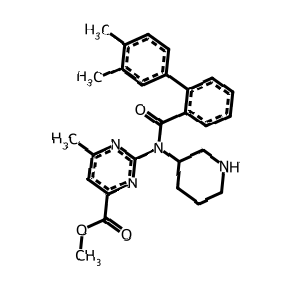 COC(=O)c1cc(C)nc(N(C(=O)c2ccccc2-c2ccc(C)c(C)c2)C2CCCNC2)n1